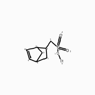 CCOS(=O)(=O)CC1CC2C=CC1C2